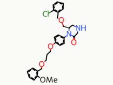 COc1ccccc1COCCCOc1ccc(N2C(=O)CNC[C@@H]2COCc2ccccc2Cl)cc1